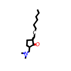 CCCCCCC/C=C1\CCC(CN(C)C)C1=O